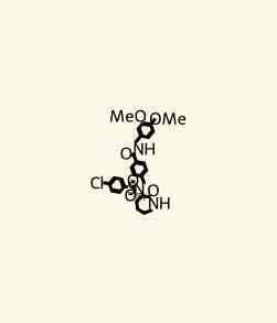 COc1ccc(CNC(=O)c2ccc(CN([C@@H]3CCCCNC3=O)S(=O)(=O)c3ccc(Cl)cc3)cc2)cc1OC